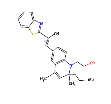 CC1=CC(C)(CCC(C)(C)C)N(CCO)c2ccc(/C=C(\C#N)c3nc4ccccc4s3)cc21